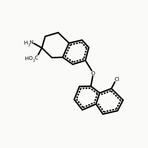 NC1(C(=O)O)CCc2ccc(Oc3cccc4cccc(Cl)c34)cc2C1